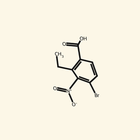 CCc1c(C(=O)O)ccc(Br)c1[N+](=O)[O-]